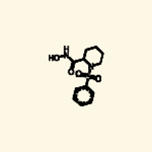 O=C(NO)C1CCCCN1S(=O)(=O)c1ccccc1